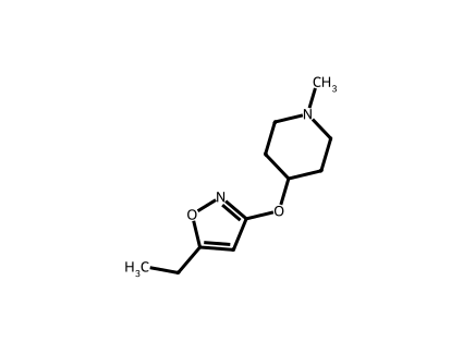 CCc1cc(OC2CCN(C)CC2)no1